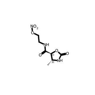 C[C@H]1NC(=O)O[C@@H]1C(=O)NCCO[N+](=O)[O-]